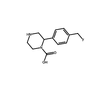 O=C(O)N1CCNCC1c1ccc(CF)cc1